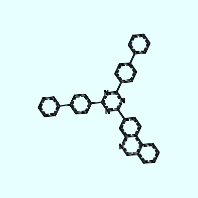 c1ccc(-c2ccc(-c3nc(-c4ccc(-c5ccccc5)cc4)nc(-c4ccc5c(c4)ncc4ccccc45)n3)cc2)cc1